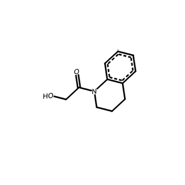 O=C(CO)N1CCCc2cc[c]cc21